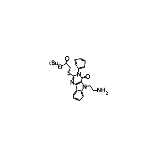 CC(C)(C)OC(=O)CSc1nc2c3ccccc3n(CCN)c2c(=O)n1-c1ccccc1